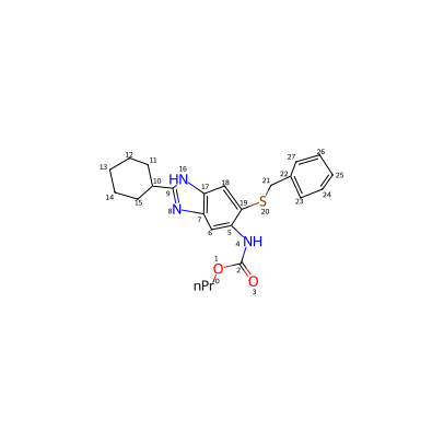 CCCOC(=O)Nc1cc2nc(C3CCCCC3)[nH]c2cc1SCc1ccccc1